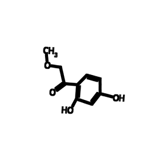 COCC(=O)c1ccc(O)cc1O